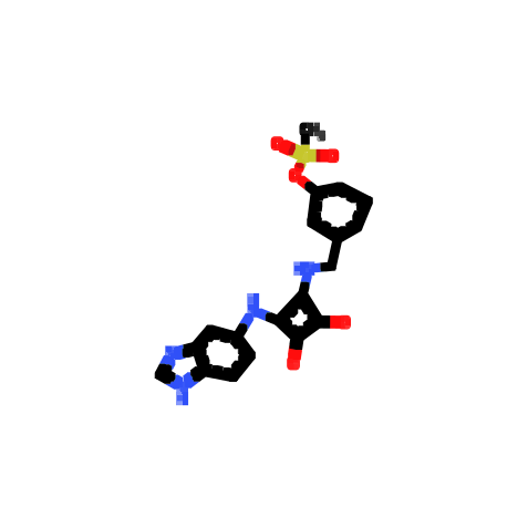 CS(=O)(=O)Oc1cccc(CNc2c(Nc3ccc4[nH]cnc4c3)c(=O)c2=O)c1